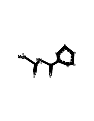 CNC(=S)NC(=O)c1ccccc1